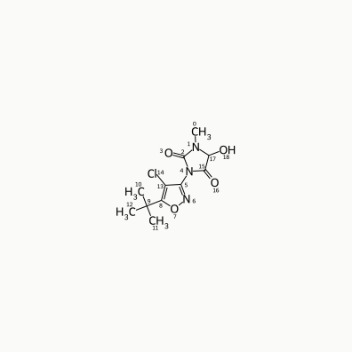 CN1C(=O)N(c2noc(C(C)(C)C)c2Cl)C(=O)C1O